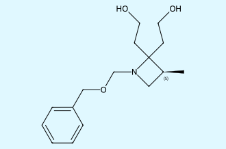 C[C@H]1CN(COCc2ccccc2)C1(CCO)CCO